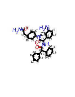 CN(C(=O)[C@H](NC(=O)C(c1ccccc1)c1ccccc1)c1cccc(N)c1)c1ccc(CC(N)=O)cc1